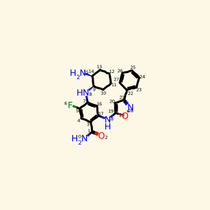 NC(=O)c1cc(F)c(N[C@@H]2CCCC[C@@H]2N)cc1Nc1cc(-c2ccccc2)no1